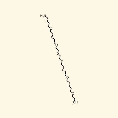 NCOCCOCCOCCOCCOCCOCCOCCOCCOCCOCCO